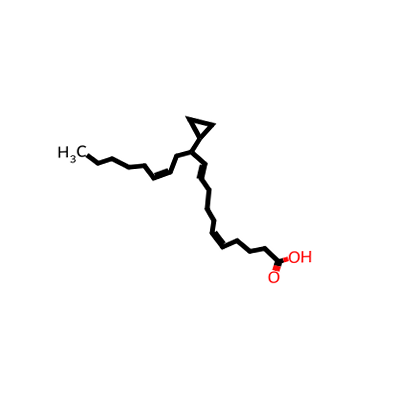 CCCCC/C=C\CC(/C=C/CCC/C=C\CCCC(=O)O)C1CC1